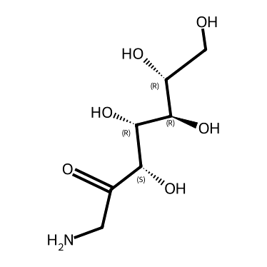 NCC(=O)[C@@H](O)[C@H](O)[C@H](O)[C@H](O)CO